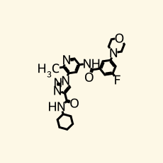 Cc1ncc(NC(=O)c2cc(F)cc(N3CCOCC3)c2)cc1-n1cc(C(=O)NC2CCCCC2)nn1